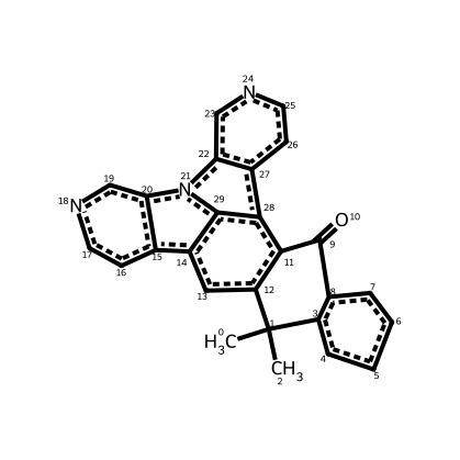 CC1(C)c2ccccc2C(=O)c2c1cc1c3ccncc3n3c4cnccc4c2c13